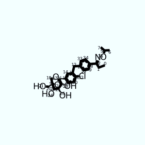 CCC(=NOC(C)C)c1ccc(Cc2cc([C@]34OC[C@](CO)(O3)[C@@H](O)[C@H](O)[C@H]4O)ccc2Cl)cc1